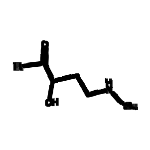 CCC(=O)C(O)CCNC(C)(C)C